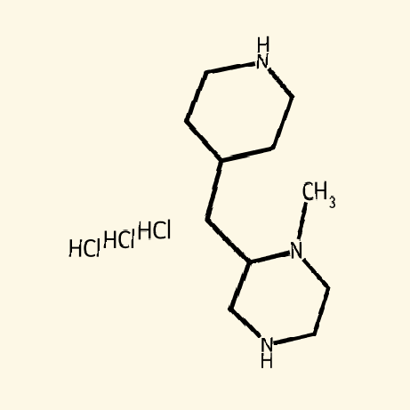 CN1CCNCC1CC1CCNCC1.Cl.Cl.Cl